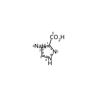 O=C(O)c1cc[nH]n1.[NaH]